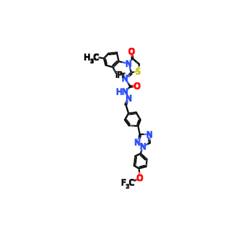 Cc1ccc(N2C(=O)CS/C2=N\C(=O)N/N=C/c2ccc(-c3ncn(-c4ccc(OC(F)(F)F)cc4)n3)cc2)c(C(C)C)c1